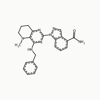 CN1CCCc2nc(-n3ncc4c(C(N)=O)cccc43)nc(NCc3ccccc3)c21